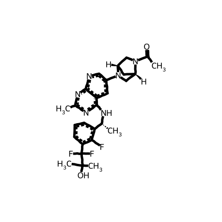 CC(=O)N1C[C@@H]2C[C@H]1CN2c1cnc2nc(C)nc(N[C@H](C)c3cccc(C(F)(F)C(C)(C)O)c3F)c2c1